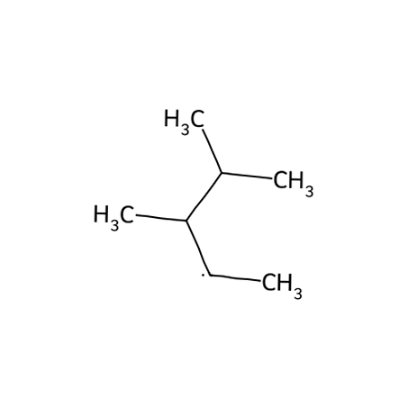 C[CH]C(C)C(C)C